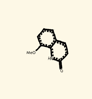 COc1cc[c]c2ccc(=O)[nH]c12